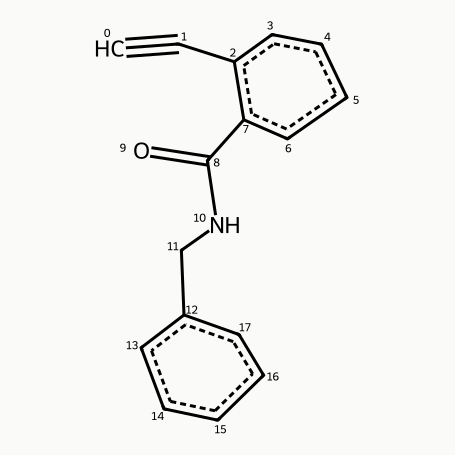 C#Cc1ccccc1C(=O)NCc1ccccc1